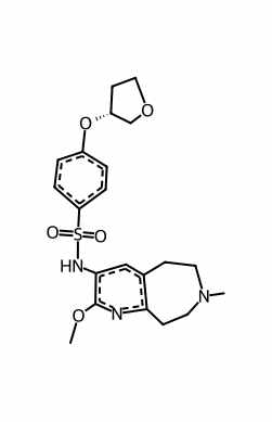 COc1nc2c(cc1NS(=O)(=O)c1ccc(O[C@@H]3CCOC3)cc1)CCN(C)CC2